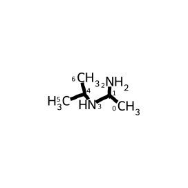 C[C](N)NC(C)C